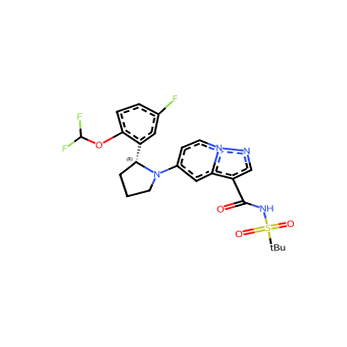 CC(C)(C)S(=O)(=O)NC(=O)c1cnn2ccc(N3CCC[C@@H]3c3cc(F)ccc3OC(F)F)cc12